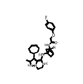 CC1NN2CCNC(NC34CC(C3)[C@@H](NC(=O)COc3ccc(F)cc3)C4)C2C1C1CCCCCC1